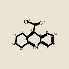 O=C(Cl)c1c2c(nc3ccccc13)CCCC2